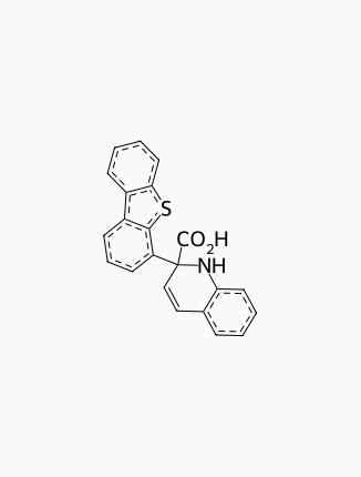 O=C(O)C1(c2cccc3c2sc2ccccc23)C=Cc2ccccc2N1